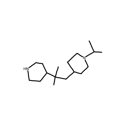 CC(C)N1CCC(CC(C)(C)C2CCNCC2)CC1